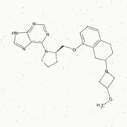 COC1CN(C2CCc3cccc(OC[C@H]4CCCN4c4ncnc5[nH]cnc45)c3C2)C1